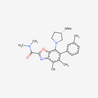 CN[C@H]1CCN(c2c(-c3cccc(C)c3)c(C)c(C#N)c3nc(C(=O)N(C)C)oc23)C1